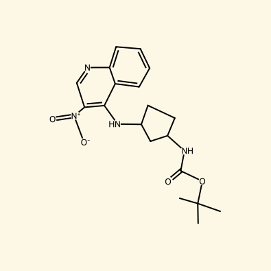 CC(C)(C)OC(=O)NC1CCC(Nc2c([N+](=O)[O-])cnc3ccccc23)C1